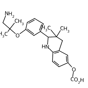 CC(C)(CN)Oc1cccc(C2Nc3ccc(OC(=O)O)cc3CC2(C)C)c1